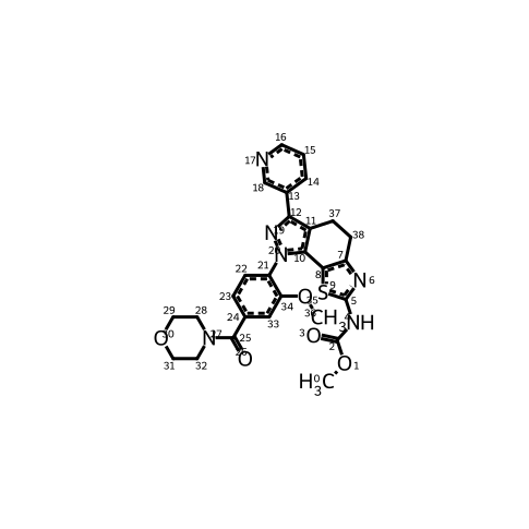 COC(=O)Nc1nc2c(s1)-c1c(c(-c3cccnc3)nn1-c1ccc(C(=O)N3CCOCC3)cc1OC)CC2